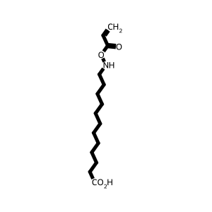 C=CC(=O)ONCCCCCCCCCCCC(=O)O